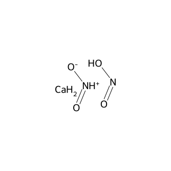 O=NO.O=[NH+][O-].[CaH2]